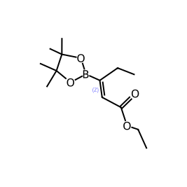 CCOC(=O)/C=C(\CC)B1OC(C)(C)C(C)(C)O1